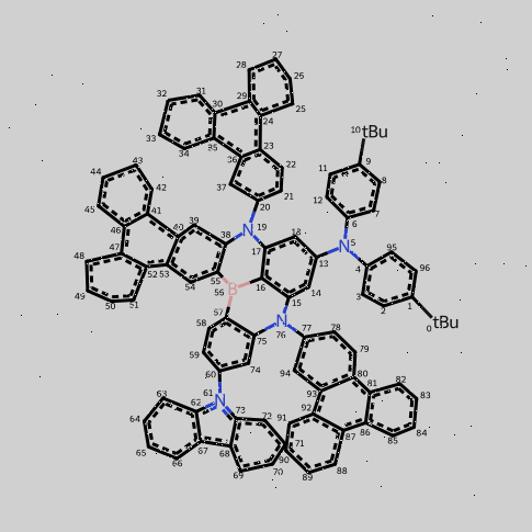 CC(C)(C)c1ccc(N(c2ccc(C(C)(C)C)cc2)c2cc3c4c(c2)N(c2ccc5c6ccccc6c6ccccc6c5c2)c2cc5c6ccccc6c6ccccc6c5cc2B4c2ccc(-n4c5ccccc5c5ccccc54)cc2N3c2ccc3c4ccccc4c4ccccc4c3c2)cc1